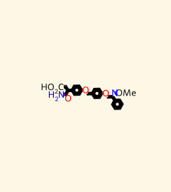 CON=C(COc1ccc(COc2ccc(C(CC(=O)O)C(N)=O)cc2)cc1)c1ccccc1